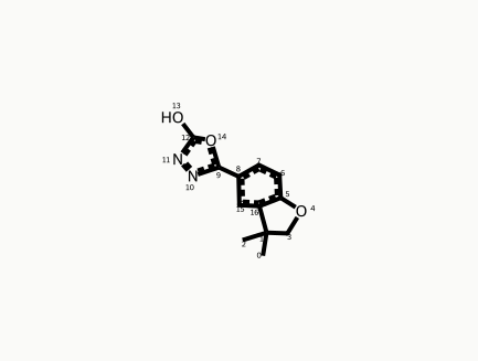 CC1(C)COc2ccc(-c3nnc(O)o3)cc21